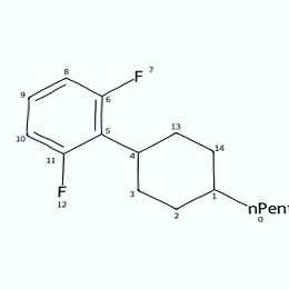 CCCCCC1CCC(c2c(F)cccc2F)CC1